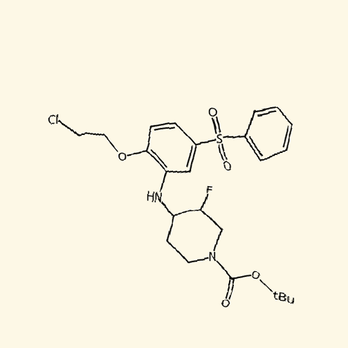 CC(C)(C)OC(=O)N1CCC(Nc2cc(S(=O)(=O)c3ccccc3)ccc2OCCCl)C(F)C1